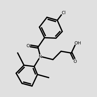 Cc1cccc(C)c1N(CCC(=O)O)C(=O)c1ccc(Cl)cc1